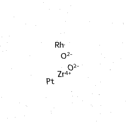 [O-2].[O-2].[Pt].[Rh].[Zr+4]